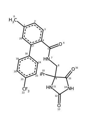 Cc1ccc(C(=O)NCC2(C(C)C)NC(=O)NC2=O)c(-c2ccc(C(F)(F)F)cc2)c1